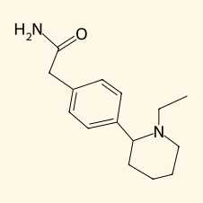 CCN1CCCCC1c1ccc(CC(N)=O)cc1